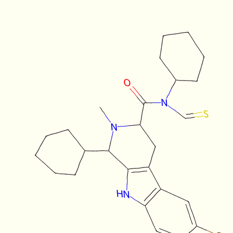 CN1C(C(=O)N(C=S)C2CCCCC2)Cc2c([nH]c3ccc(Br)cc23)C1C1CCCCC1